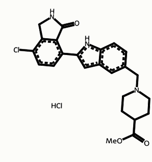 COC(=O)C1CCN(Cc2ccc3[nH]c(-c4ccc(Cl)c5c4C(=O)NC5)cc3c2)CC1.Cl